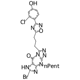 CCCCCn1c2nc(Br)[nH]c2c(=O)n2c(CCCc3nc(-c4ccc(O)cc4Cl)no3)nnc12